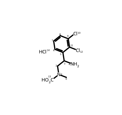 CN(CC(N)c1cccc(Cl)c1Cl)C(=O)O.Cl